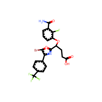 NC(=O)c1cccc(OC(CCC(=O)O)c2nc(-c3ccc(C(F)(F)F)cc3)c(Br)o2)c1F